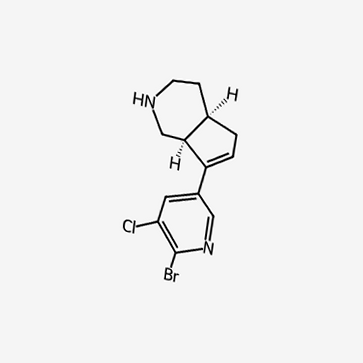 Clc1cc(C2=CC[C@@H]3CCNC[C@H]23)cnc1Br